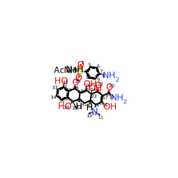 CC(=O)NS(=O)(=O)c1ccc(N)cc1.CN(C)[C@@H]1C(O)=C(C(N)=O)C(=O)[C@@]2(O)C(O)=C3C(=O)c4c(O)cccc4[C@@](C)(O)[C@H]3C[C@@H]12.[NaH]